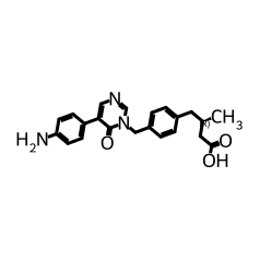 C[C@@H](CC(=O)O)Cc1ccc(Cn2cncc(-c3ccc(N)cc3)c2=O)cc1